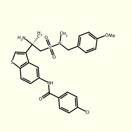 COc1ccc(CN(C)S(=O)(=O)C[C@](C)(N)c2csc3ccc(NC(=O)c4ccc(Cl)cc4)cc23)cc1